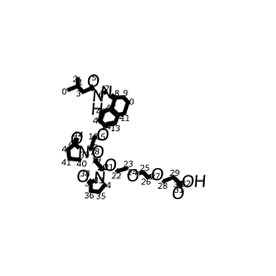 CC(C)CC(=O)N/N=C1/CCCc2cc(OCC(OCC(OCCOCCOCCC(=O)O)N3CCCC3=O)N3CCCC3=O)ccc21